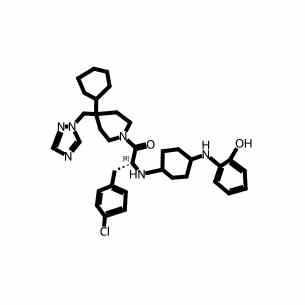 O=C([C@@H](Cc1ccc(Cl)cc1)NC1CCC(Nc2ccccc2O)CC1)N1CCC(Cn2cncn2)(C2CCCCC2)CC1